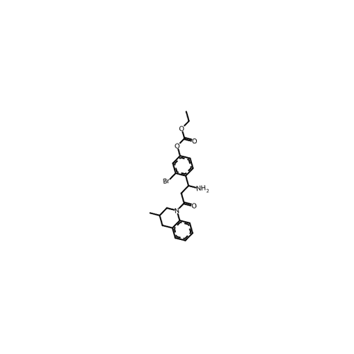 CCOC(=O)Oc1ccc(C(N)CC(=O)N2CC(C)Cc3ccccc32)c(Br)c1